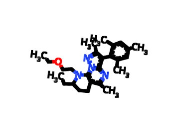 CCOCCN1c2c(c(C)nc3c(-c4c(C)cc(C)cc4C)c(C)nn23)CCC1CC